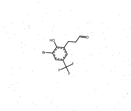 O=CCCc1cc(C(F)(F)F)cc(Br)c1O